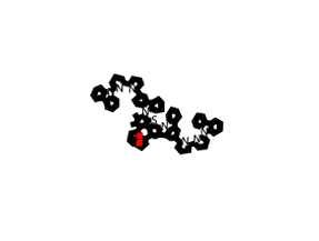 Cc1c(C)c(-c2ccccc2)c2c(sc3c2c(-c2ccccc2)cc2c4cc(-c5cccc(-c6cccc(-n7c8ccccc8c8ccccc87)n6)n5)cc5c6ccccc6n(c54)c23)c1-n1c2ccccc2c2cc(-c3cccc(-c4cccc(-n5c6ccccc6c6ccccc65)n4)n3)ccc21